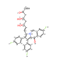 COC(=O)C[C@H](O)C[C@H](O)C=Cc1c(-c2ccc(F)cc2)c(-c2ccc(F)cc2)c(C(=O)c2ccc(F)cc2)n1C(C)C